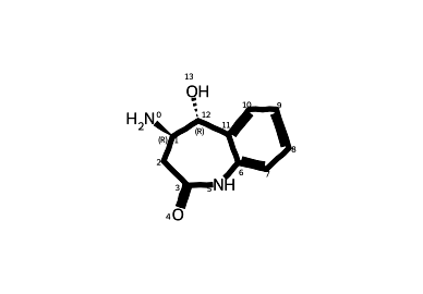 N[C@@H]1CC(=O)Nc2ccccc2[C@H]1O